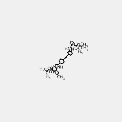 CC1=CC(c2ncc(-c3ccc(C#Cc4ccc5nc(C6CCCN6C(=O)OC(C)(C)C)[nH]c5c4)cc3)[nH]2)N(C(=O)OC(C)(C)C)C1